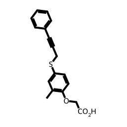 Cc1cc(SCC#Cc2ccccc2)ccc1OCC(=O)O